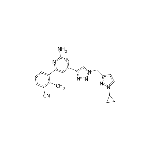 Cc1c(C#N)cccc1-c1cc(-c2cn(Cc3ccn(C4CC4)n3)nn2)nc(N)n1